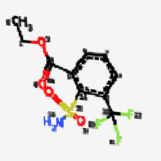 CCOC(=O)c1cccc(C(F)(F)F)c1S(N)(=O)=O